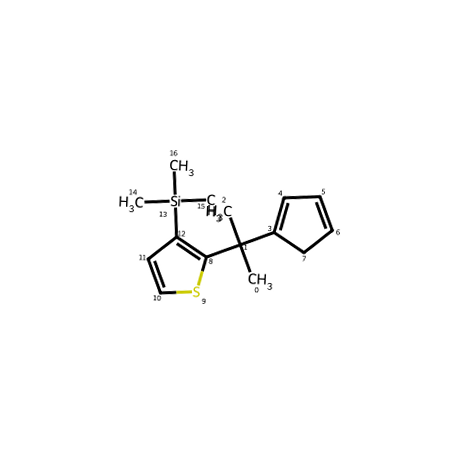 CC(C)(C1=CC=CC1)c1sccc1[Si](C)(C)C